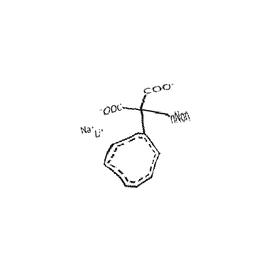 CCCCCCCCCC(C(=O)[O-])(C(=O)[O-])c1ccccc1.[Li+].[Na+]